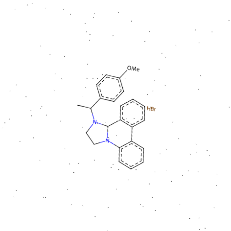 Br.COc1ccc(C(C)N2CCN3c4ccccc4-c4ccccc4C32)cc1